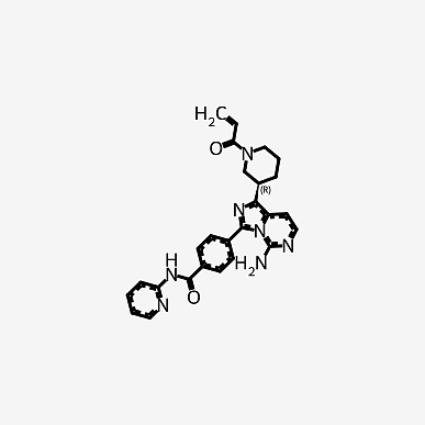 C=CC(=O)N1CCC[C@@H](c2nc(-c3ccc(C(=O)Nc4ccccn4)cc3)n3c(N)nccc23)C1